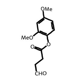 COc1ccc(OC(=O)CCC=O)c(OC)c1